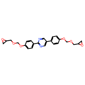 c1cc(-c2cnc(-c3ccc(OCOCC4CO4)cc3)nc2)ccc1OCOCC1CO1